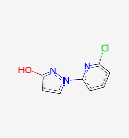 Oc1ccn(-c2cccc(Cl)n2)n1